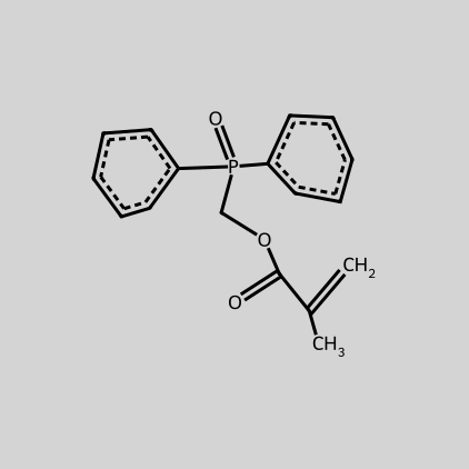 C=C(C)C(=O)OCP(=O)(c1ccccc1)c1ccccc1